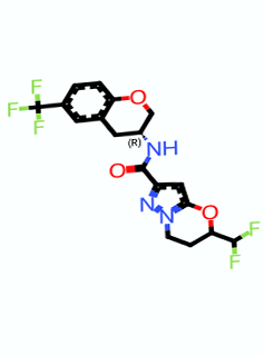 O=C(N[C@H]1COc2ccc(C(F)(F)F)cc2C1)c1cc2n(n1)CCC(C(F)F)O2